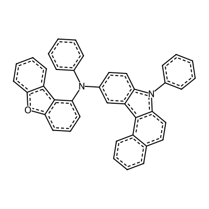 c1ccc(N(c2ccc3c(c2)c2c4ccccc4ccc2n3-c2ccccc2)c2cccc3oc4ccccc4c23)cc1